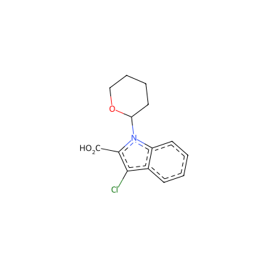 O=C(O)c1c(Cl)c2ccccc2n1C1CCCCO1